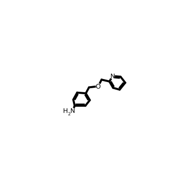 Nc1ccc(COCc2ccccn2)cc1